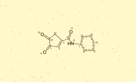 O=C1C=C(C(=O)Nc2ccccc2)CC1=O